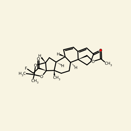 CC(=O)OC[C@]12CCC(=O)C=C1C=C[C@@H]1[C@@H]2CC[C@@]2(C)[C@H]1C[C@H]1OC(C)(C)O[C@]12C(=O)CF